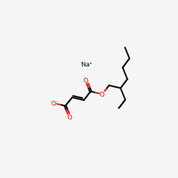 CCCCC(CC)COC(=O)C=CC(=O)[O-].[Na+]